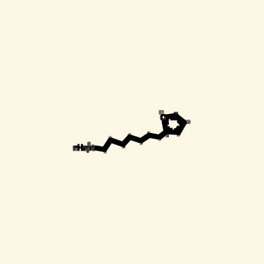 CCCCCCCCCCCCCCc1ccco1